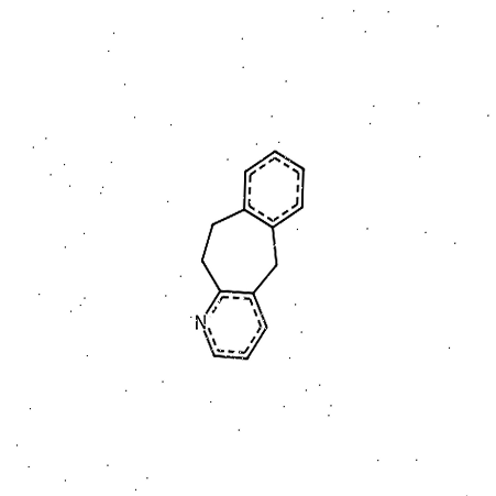 c1ccc2c(c1)CCc1ncccc1C2